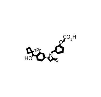 CCCC1(C(O)c2ccc([C@H]3CC(=S)N3Cc3cccc(OCC(=O)O)c3)cc2)CCC1